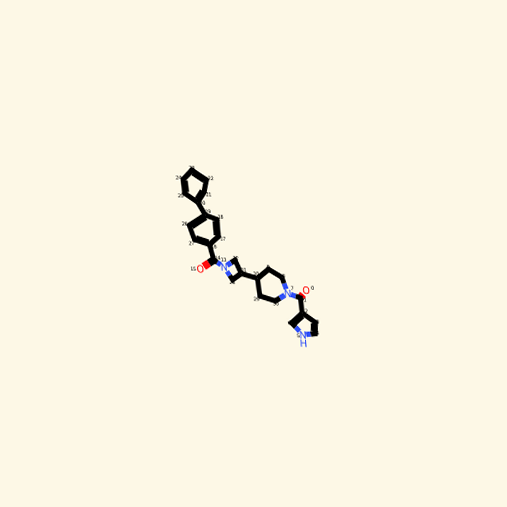 O=C(c1cc[nH]c1)N1CCC(C2CN(C(=O)c3ccc(-c4ccccc4)cc3)C2)CC1